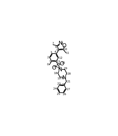 Cc1ccc(-c2c(C)noc2C)cc1S(=O)(=O)N1CCN(Cc2ccccc2)CC1